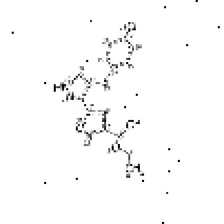 CCOC(=O)c1cc(-c2n[nH]cc2Sc2ccc(Cl)cc2)on1